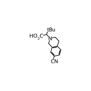 CC(C)(C)C(C(=O)O)N1CCc2ccc(C#N)cc2C1